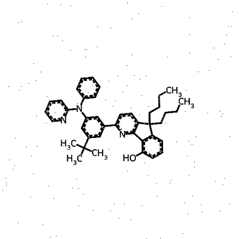 CCCCC1(CCCC)c2ccc(-c3cc(N(c4ccccc4)c4ccccn4)cc(C(C)(C)C)c3)nc2-c2c(O)cccc21